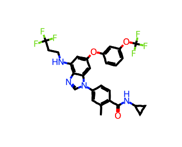 Cc1cc(-n2cnc3c(NCCC(F)(F)F)cc(Oc4cccc(OC(F)(F)F)c4)cc32)ccc1C(=O)NC1CC1